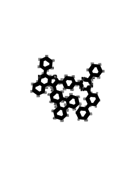 c1ccc(-c2cccc(-c3nc(-c4ccccc4)nc(-c4ccc(-c5oc6c(-c7ccccc7)nc7ccccc7c6c5-c5ccc6c7ccccc7c7ccccc7c6c5)cc4)n3)c2)cc1